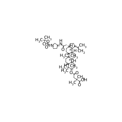 C=C(C)[C@@H]1CC[C@]2(CC(=O)N[C@@H]3CCN(C(=O)OC(C)(C)C)C3)CC[C@]3(C)[C@H](CC[C@@H]4[C@@]5(C)CC[C@H](OC(=O)CC(C)(C)C(=O)O)C(C)(C)[C@@H]5CC[C@]43C)[C@@H]12